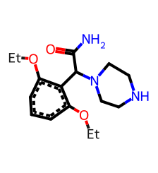 CCOc1cccc(OCC)c1C(C(N)=O)N1CCNCC1